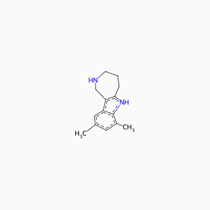 Cc1cc(C)c2[nH]c3c(c2c1)CNCCC3